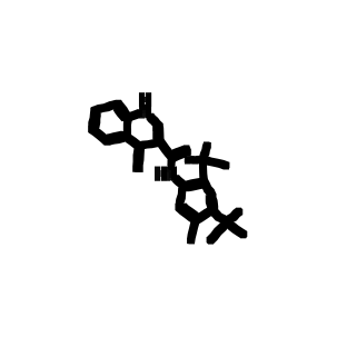 C=C(Nc1cc(C)c(C(C)(C)C)cc1C(C)(C)C)C1=CNc2ccccc2C1=C